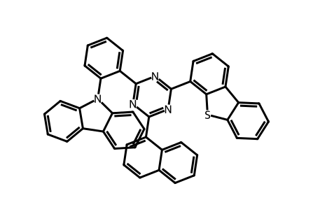 c1ccc(-n2c3ccccc3c3ccccc32)c(-c2nc(-c3cccc4ccccc34)nc(-c3cccc4c3sc3ccccc34)n2)c1